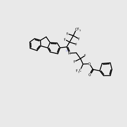 O=C(OC(C(F)(F)F)C(F)(F)C/N=C(/c1ccc2c(c1)Cc1ccccc1-2)C(F)(F)C(F)(F)C(F)(F)F)c1ccccc1